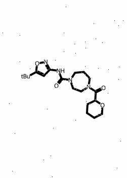 CC(C)(C)c1cc(NC(=O)N2CCCN(C(=O)C3CCCCO3)CC2)no1